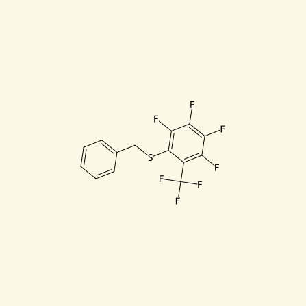 Fc1c(F)c(F)c(C(F)(F)F)c(SCc2ccccc2)c1F